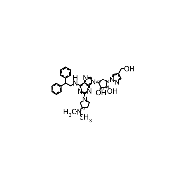 CN(C)[C@@H]1CCN(c2nc(NCC(c3ccccc3)c3ccccc3)c3ncn([C@@H]4C[C@H](n5cc(CO)cn5)[C@@H](O)[C@H]4O)c3n2)C1